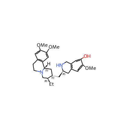 CC[C@H]1CN2CCc3cc(OC)c(OC)cc3[C@@H]2C[C@@H]1C[C@@H]1Cc2cc(OC)c(O)cc2CN1